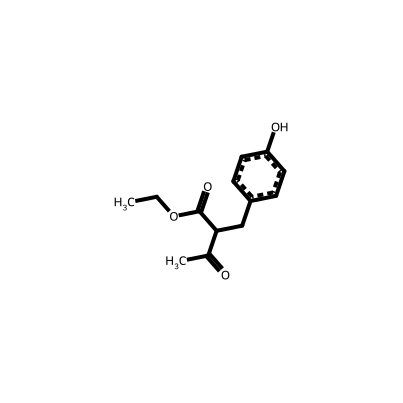 CCOC(=O)C(Cc1ccc(O)cc1)C(C)=O